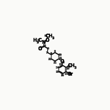 CON(C)C(=O)CCC1CCC(Oc2cccc(Br)c2C)CC1